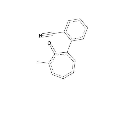 Cc1ccccc(-c2ccccc2C#N)c1=O